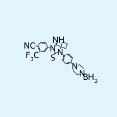 BN1CCN(c2ccc(N3C(=S)N(c4ccc(C#N)c(C(F)(F)F)c4)C(=N)C34CCC4)cc2)CC1